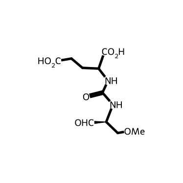 COC[C@@H](C=O)NC(=O)NC(CCC(=O)O)C(=O)O